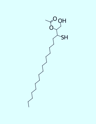 CCCCCCCCCCCCCCCCC(S)C(CO)OC(C)=O